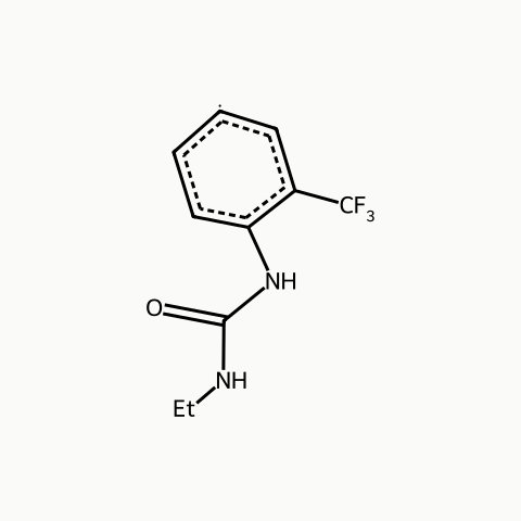 CCNC(=O)Nc1cc[c]cc1C(F)(F)F